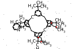 CCCOc1c2cc(C(C)(C)C)cc1Cc1cc(C(C)(C)C)cc(c1OCCC)Cc1cc(C(C)(C)C)cc(c1OCc1ccccn1)Cc1cc(cc(C(C)(C)C)c1)C2